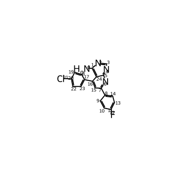 Nc1ncnc2nc(-c3ccc(F)cc3)cc(-c3ccc(Cl)cc3)c12